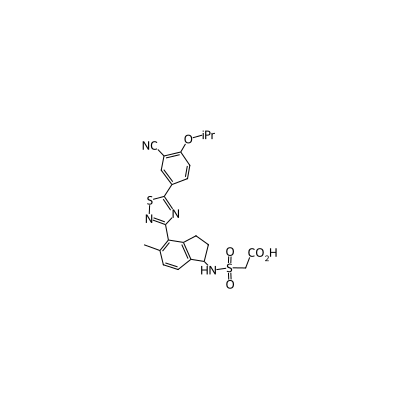 Cc1ccc2c(c1-c1nsc(-c3ccc(OC(C)C)c(C#N)c3)n1)CCC2NS(=O)(=O)CC(=O)O